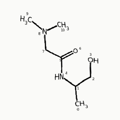 CC(CO)NC(=O)CN(C)C